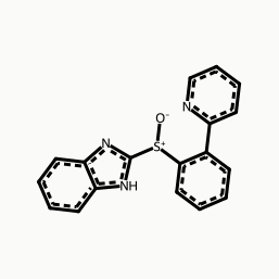 [O-][S+](c1nc2ccccc2[nH]1)c1ccccc1-c1ccccn1